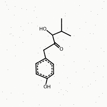 CC(C)C(O)C(=O)Cc1ccc(O)cc1